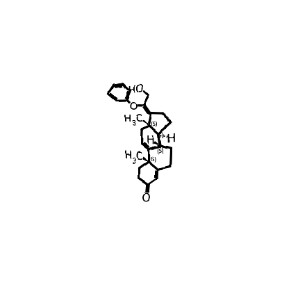 C[C@]12CCC(=O)C=C1CC[C@@H]1C2=CC[C@]2(C)C(=C(CO)Oc3ccccc3)CC[C@@H]12